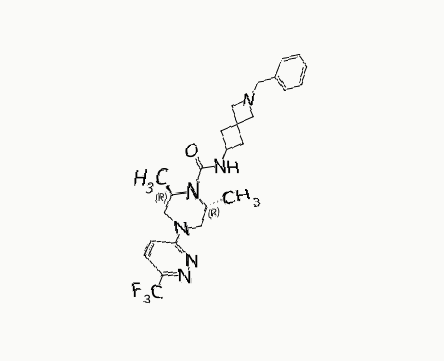 C[C@@H]1CN(c2ccc(C(F)(F)F)nn2)C[C@@H](C)N1C(=O)NC1CC2(C1)CN(Cc1ccccc1)C2